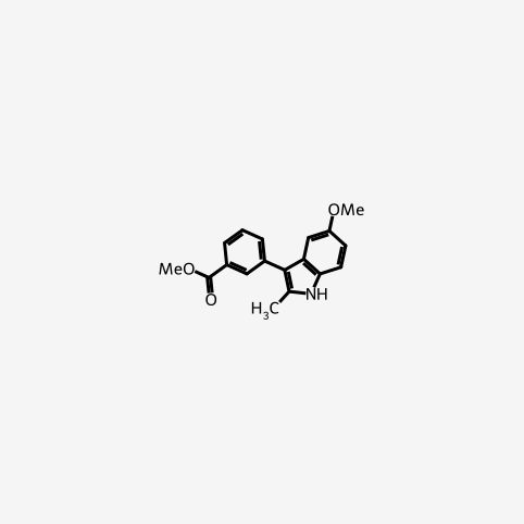 COC(=O)c1cccc(-c2c(C)[nH]c3ccc(OC)cc23)c1